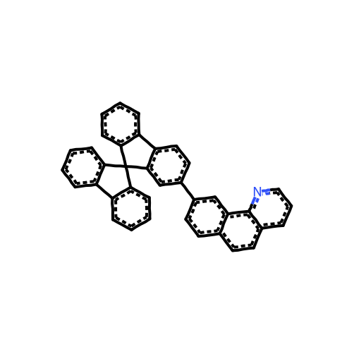 c1ccc2c(c1)-c1ccccc1C21c2ccccc2-c2ccc(-c3ccc4ccc5cccnc5c4c3)cc21